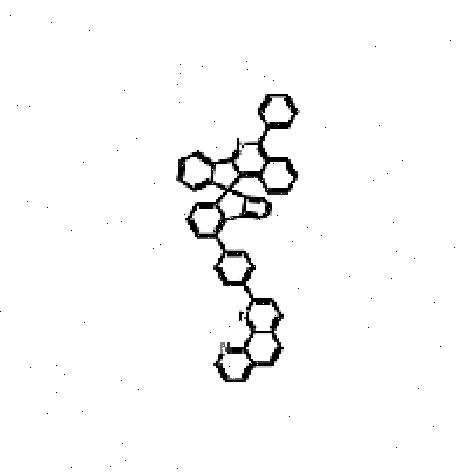 c1ccc(-c2nc3c(c4ccccc24)C2(c4ccccc4-3)c3ccccc3-c3c(-c4ccc(-c5ccc6ccc7cccnc7c6n5)cc4)cccc32)cc1